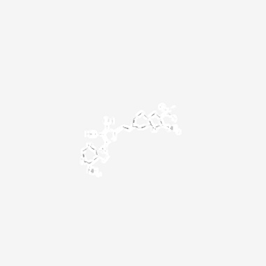 CS(=O)(=O)c1cc2ccc(/C=C/C3CC(N4CCc5c(N)ncnc54)C(O)C3O)cc2nc1N